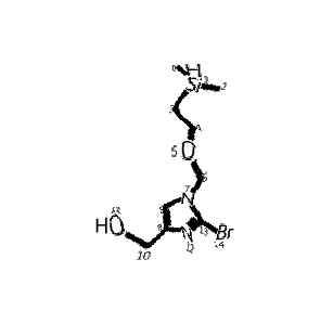 C[SiH](C)CCOCn1cc(CO)nc1Br